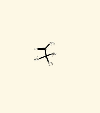 CCCCC(C)(CCCC)C(N)=O